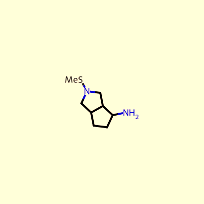 CSN1CC2CCC(N)C2C1